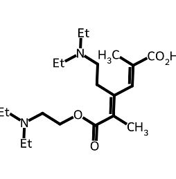 CCN(CC)CCOC(=O)C(C)=C(C=C(C)C(=O)O)CCN(CC)CC